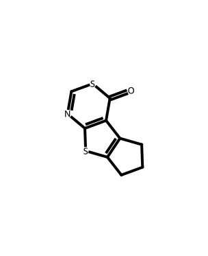 O=c1scnc2sc3c(c12)CCC3